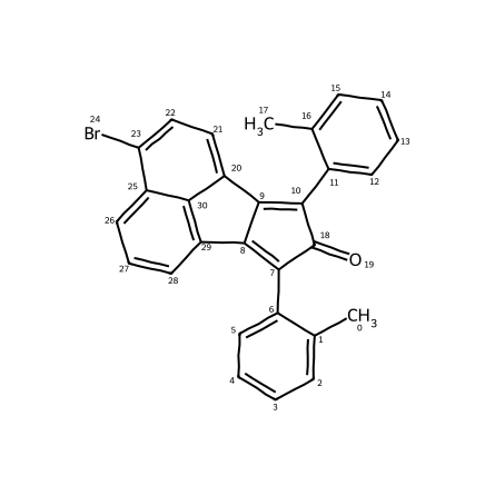 Cc1ccccc1C1=C2C(=C(c3ccccc3C)C1=O)c1ccc(Br)c3cccc2c13